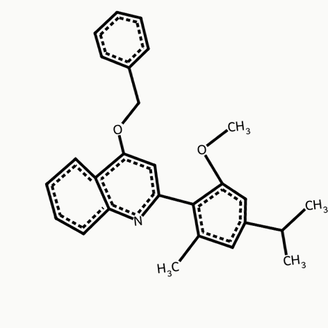 COc1cc(C(C)C)cc(C)c1-c1cc(OCc2ccccc2)c2ccccc2n1